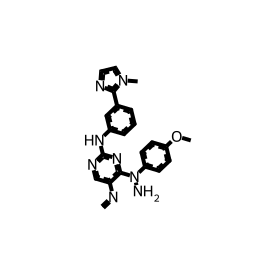 C=Nc1cnc(Nc2cccc(-c3nccn3C)c2)nc1N(N)c1ccc(OC)cc1